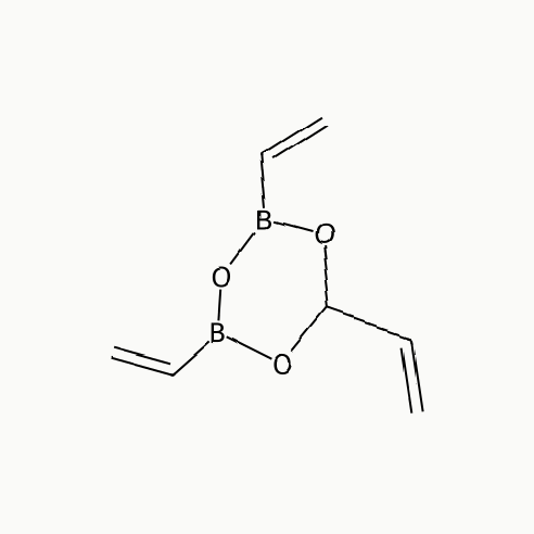 C=CB1OB(C=C)OC(C=C)O1